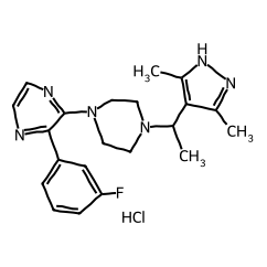 Cc1n[nH]c(C)c1C(C)N1CCN(c2nccnc2-c2cccc(F)c2)CC1.Cl